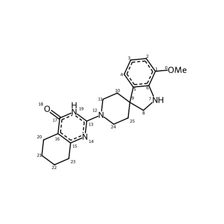 COc1cccc2c1NCC21CCN(c2nc3c(c(=O)[nH]2)CCCC3)CC1